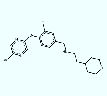 CC(=O)c1cnc(Oc2ccc(CNCCC3CCOCC3)cc2F)cn1